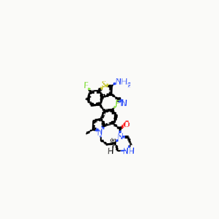 Cc1cc2c(-c3ccc(F)c4sc(N)c(C#N)c34)c(F)cc3c2n1CC[C@@H]1CNCCN1C3=O